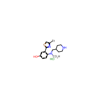 CCc1csc(-c2cc(O)ccc2N(CC2CCNCC2)C(=O)O)n1.Cl